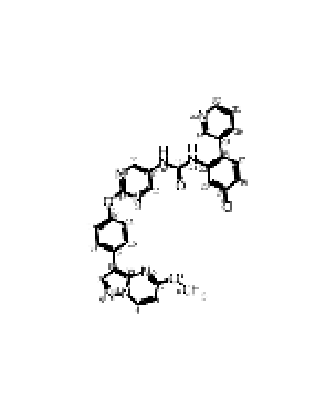 COc1ccn2ncc(-c3ccc(Oc4ncc(NC(=O)Nc5cc(Cl)ccc5-c5cccnc5)cn4)cc3)c2n1